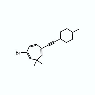 CC1CCC(C#CC2=CC(C)(C)C=C(Br)C=C2)CC1